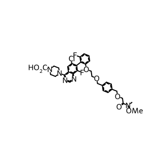 CON(C)C(=O)COCc1ccc(COCCOc2cccc(F)c2-c2c(Cl)cc3c(N4CCN(C(=O)O)CC4)ncnc3c2F)cc1